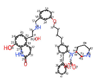 O=C(O)N(c1cc(CCCCOc2cccc(CNC[C@H](O)c3ccc(O)c4[nH]c(=O)ccc34)c2)ccc1-c1ccccc1)C1CN2CCC1CC2